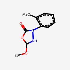 CCOC1NN(c2ccccc2OC)C(=O)O1